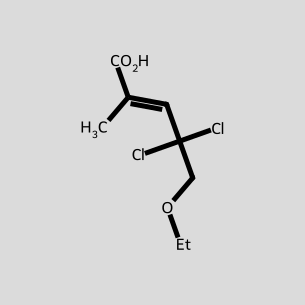 CCOCC(Cl)(Cl)C=C(C)C(=O)O